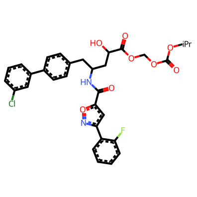 CC(C)OC(=O)OCOC(=O)C(O)CC(Cc1ccc(-c2cccc(Cl)c2)cc1)NC(=O)c1cc(-c2ccccc2F)no1